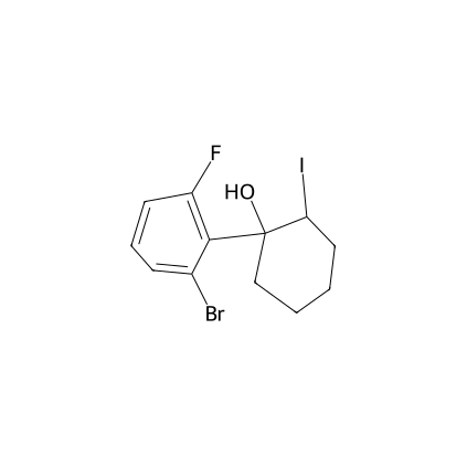 OC1(c2c(F)cccc2Br)CCCCC1I